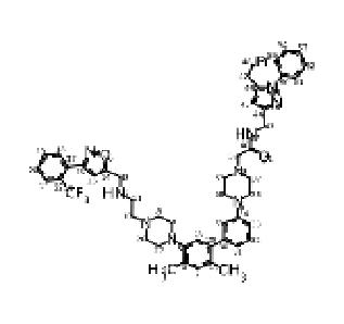 Cc1cc(C)c(N2CCN(CCNCc3cc(-c4ccccc4C(F)(F)F)no3)CC2)cc1-c1cccc(N2CCN(CC(=O)NCc3cc(CC(C)C)n(-c4ccccc4)n3)CC2)c1